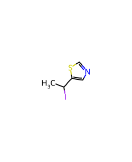 CC(I)c1cncs1